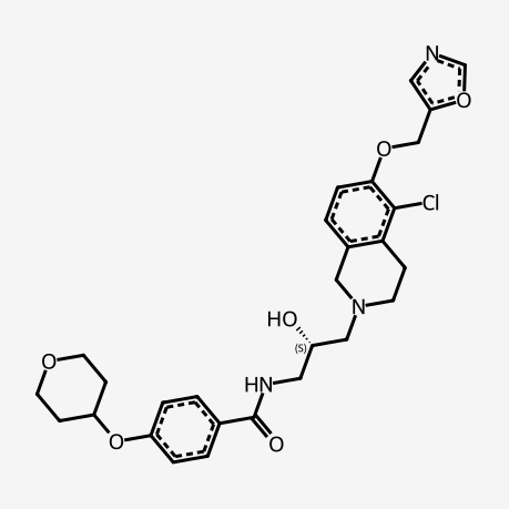 O=C(NC[C@H](O)CN1CCc2c(ccc(OCc3cnco3)c2Cl)C1)c1ccc(OC2CCOCC2)cc1